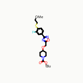 COCCSc1ccc(-c2noc(COC3CCN(C(=O)OC(C)(C)C)CC3)n2)cc1F